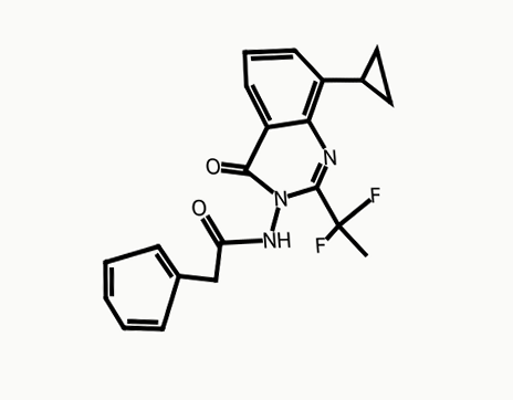 CC(F)(F)c1nc2c(C3CC3)cccc2c(=O)n1NC(=O)Cc1ccccc1